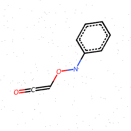 O=C=CO[N]c1ccccc1